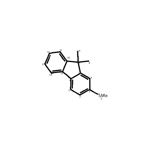 CSc1ccc2c(c1)C(C)(C)c1ccccc1-2